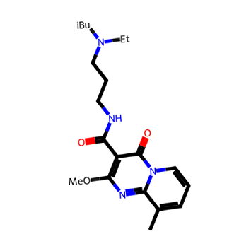 CCC(C)N(CC)CCCNC(=O)c1c(OC)nc2c(C)cccn2c1=O